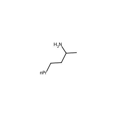 CCCCC[C](C)N